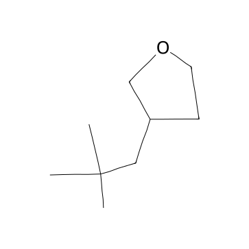 CC(C)(C)CC1CCOC1